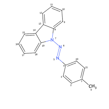 Cc1ccc(N=Nn2c3ccccc3c3ccccc32)cc1